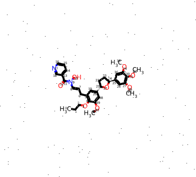 CCCOc1c(CC=CN(O)C(=O)c2cccnc2)cc([C@@H]2CC[C@@H](c3cc(OC)c(OC)c(OC)c3)O2)cc1OC